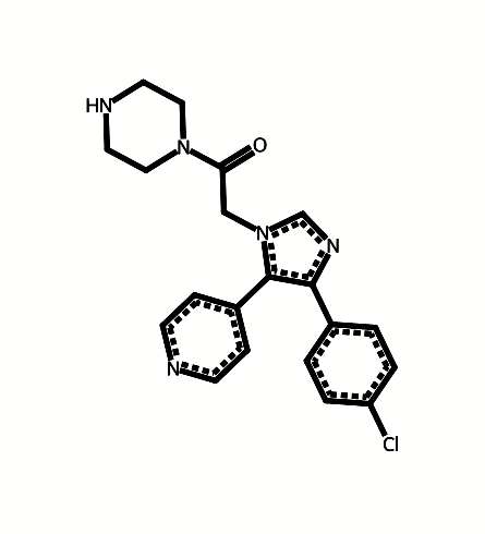 O=C(Cn1cnc(-c2ccc(Cl)cc2)c1-c1ccncc1)N1CCNCC1